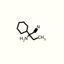 CC[C@@](N)(C#N)C1CCCCC1